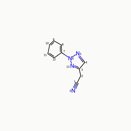 N#CCc1cnn(-c2ccccc2)n1